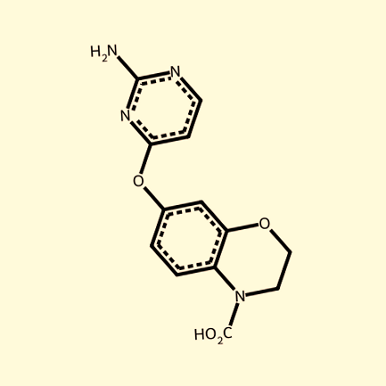 Nc1nccc(Oc2ccc3c(c2)OCCN3C(=O)O)n1